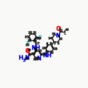 CCC(=O)N1CCC(c2ccc(Nc3cc(NCc4c(F)cccc4F)c(C(N)=O)cn3)cc2)CC1